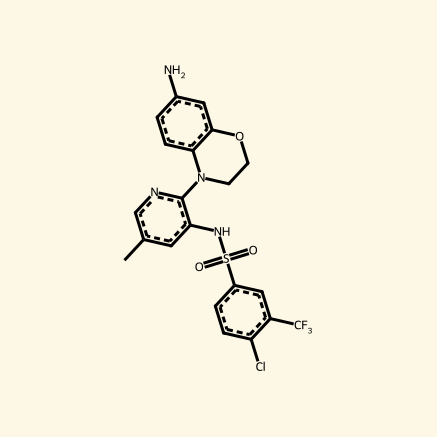 Cc1cnc(N2CCOc3cc(N)ccc32)c(NS(=O)(=O)c2ccc(Cl)c(C(F)(F)F)c2)c1